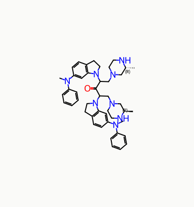 C[C@@H]1CN(CC(C(=O)C(CN2CCN[C@H](C)C2)N2CCc3ccc(N(C)c4ccccc4)cc32)N2CCc3ccc(N(C)c4ccccc4)cc32)CCN1